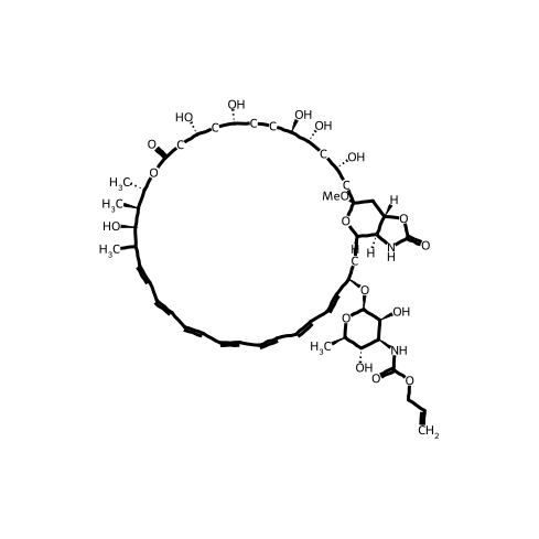 C=CCOC(=O)N[C@@H]1[C@H](O)[C@H](O[C@H]2/C=C/C=C/C=C/C=C/C=C/C=C/C=C/C(C)[C@@H](O)[C@@H](C)[C@H](C)OC(=O)C[C@H](O)C[C@H](O)CC[C@@H](O)[C@H](O)C[C@H](O)C[C@]3(OC)C[C@@H]4OC(=O)N[C@H]4[C@H](C2)O3)O[C@H](C)[C@H]1O